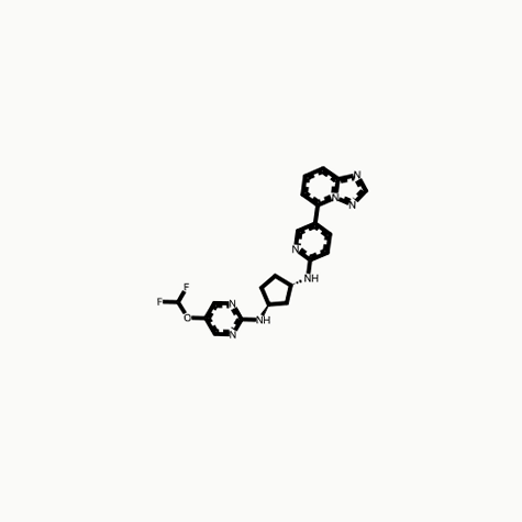 FC(F)Oc1cnc(N[C@H]2CC[C@H](Nc3ccc(-c4cccc5ncnn45)cn3)C2)nc1